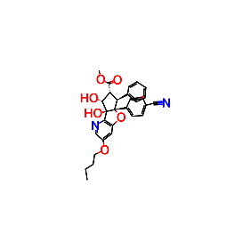 CCCCOc1cnc2c(c1)O[C@@]1(c3ccc(C#N)cc3)[C@H](c3ccccc3)[C@@H](C(=O)OC)[C@@H](O)[C@@]21O